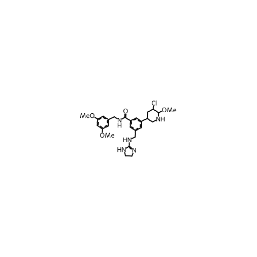 COc1cc(CNC(=O)c2cc(CNC3=NCCN3)cc(C3CNC(OC)C(Cl)C3)c2)cc(OC)c1